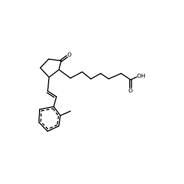 Cc1ccccc1C=CC1CCC(=O)C1CCCCCCC(=O)O